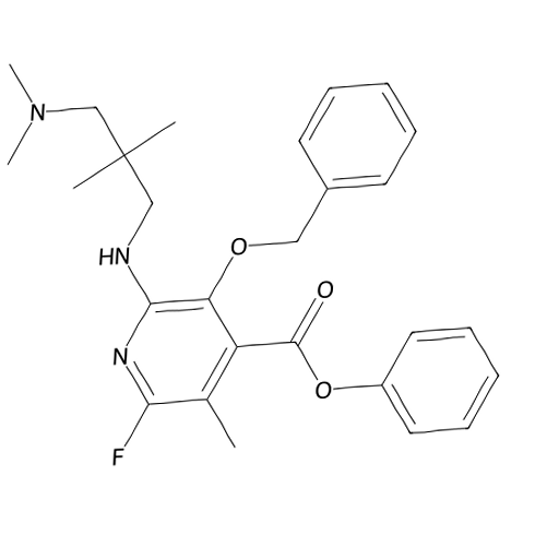 Cc1c(F)nc(NCC(C)(C)CN(C)C)c(OCc2ccccc2)c1C(=O)Oc1ccccc1